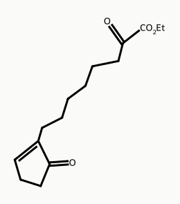 CCOC(=O)C(=O)CCCCCCC1=CCCC1=O